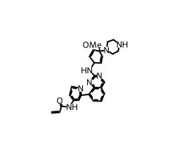 C=CC(=O)Nc1ccnc(-c2cccc3cnc(NC4C=CC(OC)(N5CCNCC5)C=C4)nc23)c1